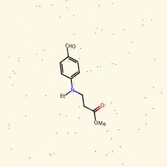 CCN(CCC(=O)OC)c1ccc(C=O)cc1